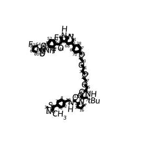 Cc1ncsc1-c1ccc(CNC(=O)[C@@H]2CCCN2C(=O)[C@@H](NC(=O)COCCOCCOCCOc2ccc(-c3cnc4[nH]cc(C(=O)c5c(F)ccc(NS(=O)(=O)N6CC[C@@H](F)C6)c5F)c4c3)cc2)C(C)(C)C)cc1